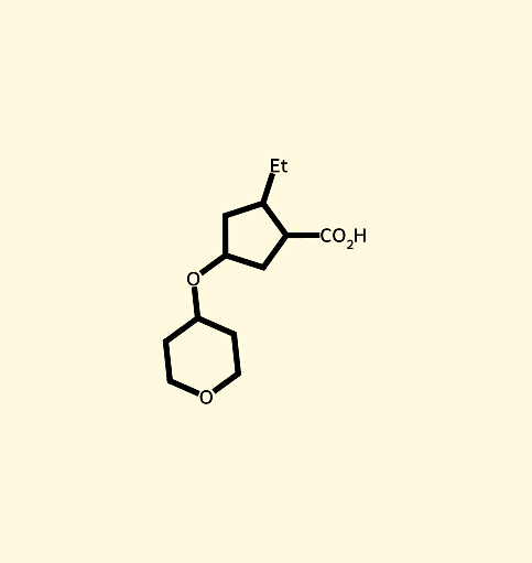 CCC1CC(OC2CCOCC2)CC1C(=O)O